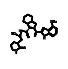 COc1cccc2[nH]c(C(=O)N3CC4CCCCC4[C@H]3C(=O)N[C@H](C#N)CC3CCCNC3=O)cc12